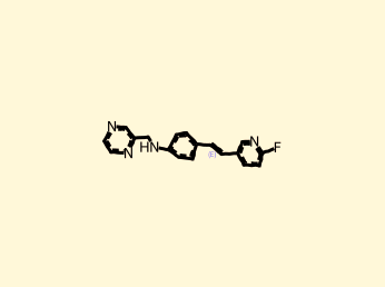 Fc1ccc(/C=C/c2ccc(NCc3cnccn3)cc2)cn1